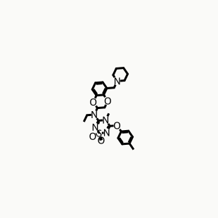 CCN(C1=NS(=O)(=O)N=C(Oc2ccc(C)cc2)N1C)C1COc2c(CN3CCCCC3)cccc2O1